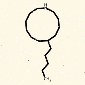 CCCCCC1CCCCCCNCCCC1